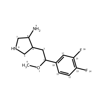 COC(CC1CNCC1N)c1ccc(F)c(F)c1